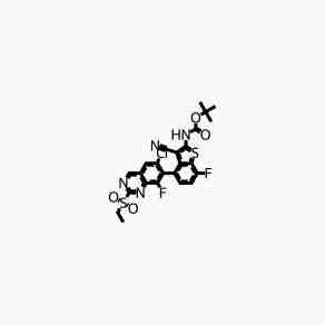 CCS(=O)(=O)c1ncc2cc(Cl)c(-c3ccc(F)c4sc(NC(=O)OC(C)(C)C)c(C#N)c34)c(F)c2n1